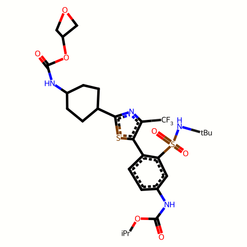 CC(C)OC(=O)Nc1ccc(-c2sc(C3CCC(NC(=O)OC4COC4)CC3)nc2C(F)(F)F)c(S(=O)(=O)NC(C)(C)C)c1